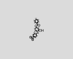 Cl.O=C(OC1CCN(Cc2ccc([N+](=O)[O-])cc2)CC1)c1ccccc1